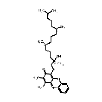 Cc1c2nc3ccccc3oc-2c(CC[C@](C)(O)CCC[C@H](C)CCC[C@H](C)CCCC(C)C)c(=O)c1C